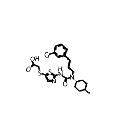 C[C@H]1CC[C@H](N(CCCc2cccc(Cl)c2)C(=O)Nc2ncc(SCC(=O)O)s2)CC1